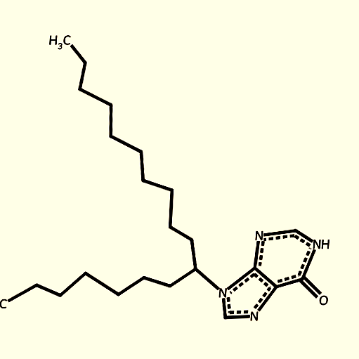 CCCCCCCCCCC(CCCCCCC)n1cnc2c(=O)[nH]cnc21